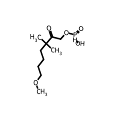 COCCCCC(C)(C)C(=O)CO[PH](=O)O